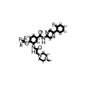 CN1CCN(CC(=O)Nc2cc(C(=O)Nc3cnc(-c4ccccc4F)cn3)ccc2OC(F)(F)F)CC1